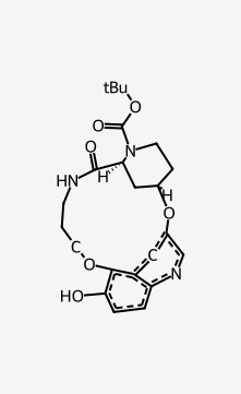 CC(C)(C)OC(=O)N1CC[C@H]2C[C@H]1C(=O)NCCCOc1c(O)ccc3ncc(cc13)O2